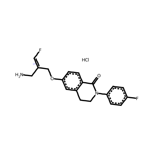 Cl.NC/C(=C/F)COc1ccc2c(c1)CCN(c1ccc(F)cc1)C2=O